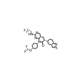 Cn1cc2cc(-c3cc4cnc(NCC(F)(F)F)nc4n(-c4ccc(OC(F)F)cc4)c3=O)ccc2n1